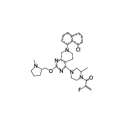 C=C(F)C(=O)N1CCN(c2nc(OCC3CCCN3C)nc3c2CCN(c2cccc4cccc(Cl)c24)C3)CC1C